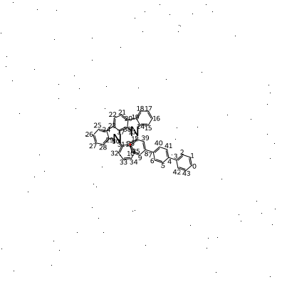 c1ccc(-c2ccc(-c3cccc(-n4c5ccccc5c5ccc6c7ccccc7n(-c7ccccc7)c6c54)c3)cc2)cc1